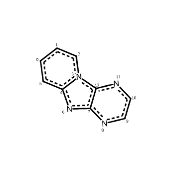 c1ccn2c(c1)nc1nccnc12